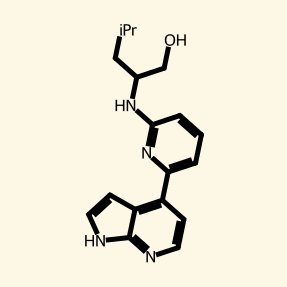 CC(C)CC(CO)Nc1cccc(-c2ccnc3[nH]ccc23)n1